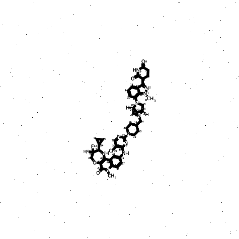 Cn1nc(C2CCC(=O)NC2=O)c2cccc(N3C[C@H]4C[C@@H]3CN4CC3CCN(c4ncc(Cl)c(Nc5ccc6c(c5)c5c(c(=O)n6C)OCC(F)(F)C(C6CC6)N5)n4)CC3)c21